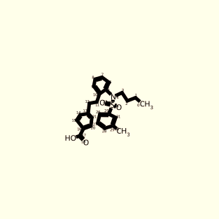 CCCCN(c1ccccc1CCc1ccc(C(=O)O)cc1)S(=O)(=O)c1cccc(C)c1